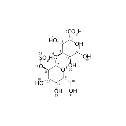 O=C(O)[C@H](O)[C@@H](O)[C@H](O[C@@H]1O[C@H](CO)[C@H](O)[C@H](O)[C@H]1OS(=O)(=O)O)[C@H](O)CO